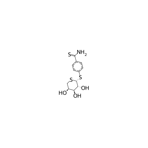 NC(=S)c1ccc(S[C@H]2SC[C@H](O)[C@H](O)[C@H]2O)cc1